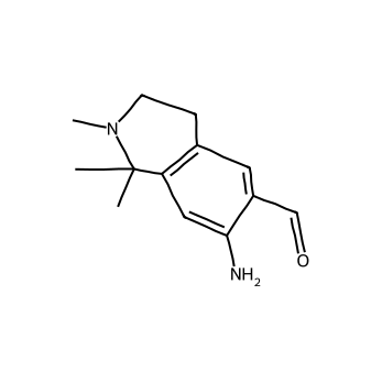 CN1CCc2cc(C=O)c(N)cc2C1(C)C